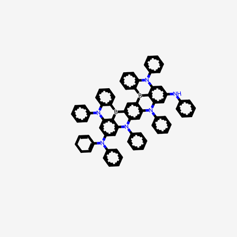 C1=CC(N(c2ccccc2)c2cc3c4c(c2)N(c2ccccc2)c2cc5c(cc2B4c2ccccc2N3c2ccccc2)B2c3ccccc3N(c3ccccc3)c3cc(Nc4ccccc4)cc(c32)N5c2ccccc2)=CCC1